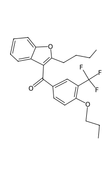 CCCCc1oc2ccccc2c1C(=O)c1ccc(OCCC)c(C(F)(F)F)c1